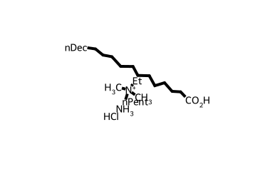 CCCCCCCCCCCCCCCCCCCCCC(=O)O.CCCCC[N+](C)(C)CC.Cl.N